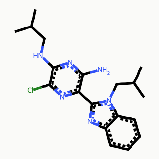 CC(C)CNc1nc(N)c(-c2nc3ccccc3n2CC(C)C)nc1Cl